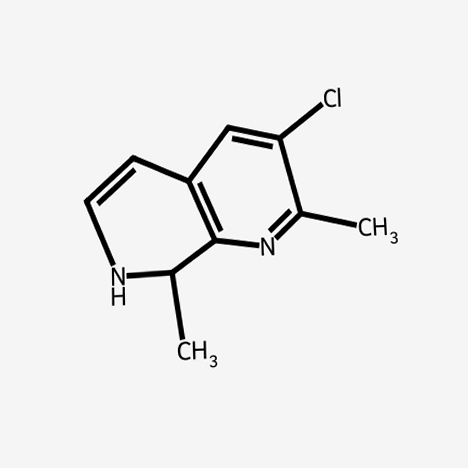 Cc1nc2c(cc1Cl)C=CNC2C